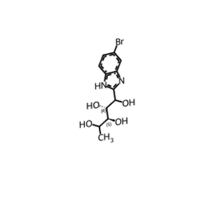 CC(O)[C@H](O)[C@H](O)C(O)c1nc2cc(Br)ccc2[nH]1